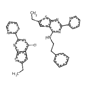 CCc1cc2c(Cl)nc(-c3ccccn3)nc2s1.CCc1cc2c(NCCc3ccccc3)nc(-c3ccccn3)nc2s1